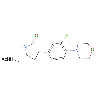 CC(=O)NCC1C[C@@H](c2ccc(N3CCOCC3)c(F)c2)C(=O)N1